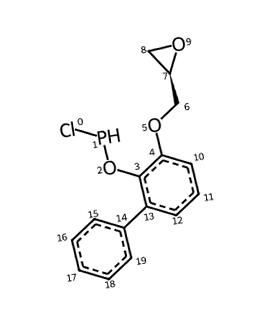 ClPOc1c(OC[C@H]2CO2)cccc1-c1ccccc1